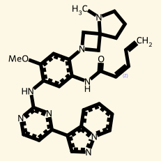 C=C/C=C\C(=O)Nc1cc(Nc2nccc(-c3cnn4ccccc34)n2)c(OC)cc1N1CC2(CCCN2C)C1